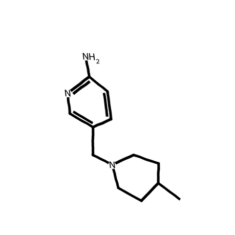 CC1CCN(Cc2ccc(N)nc2)CC1